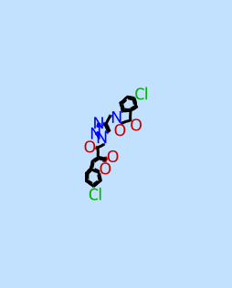 O=C1C(=O)N(Cc2cn(CC(=O)c3cc4ccc(Cl)cc4oc3=O)nn2)c2ccc(Cl)cc21